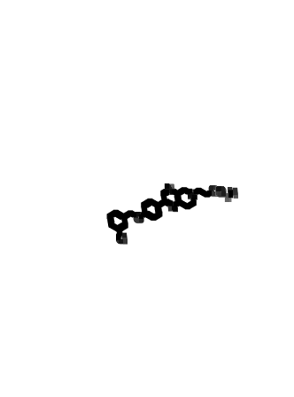 O=C(O)CCN1CCc2nc(-c3ccc(OCc4cccc(Cl)c4)cc3)cnc2C1